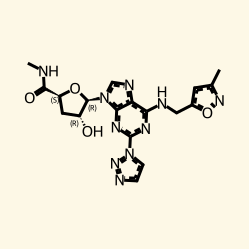 CNC(=O)[C@@H]1C[C@@H](O)[C@H](n2cnc3c(NCc4cc(C)no4)nc(-n4ccnn4)nc32)O1